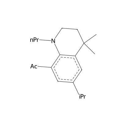 CCCN1CCC(C)(C)c2cc(C(C)C)cc(C(C)=O)c21